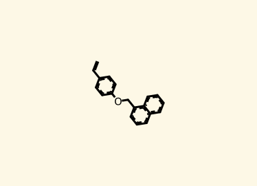 C=Cc1ccc(OCc2cccc3ccccc23)cc1